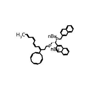 C/C=C/C=C\C=C/C=C(CC[P@](CCCC)C[C@@H](C1=CC2C=CC=CC2C=C1)[P@@](CCCC)Cc1ccc2ccccc2c1)\C1=C\C=C/C/C=C\C=C/C1